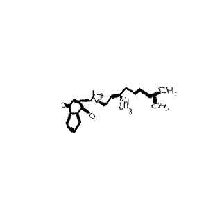 CC(C)=CCC/C(C)=C/CNC1=CC(=O)c2ccccc2C1=O